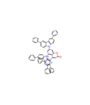 O=c1cc(C2=NC(c3ccccc3)=NC(c3ccccc3)N2)c2c(-n3c4ccc(-c5ccccc5)cc4c4cc(-c5ccccc5)ccc43)cc(-n3c4ccc(-c5ccccc5)cc4c4cc(-c5ccccc5)ccc43)cc2o1